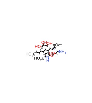 CCCCCCCC/C=C\CCCCCCCC(=O)O.NCCO.O=C1CC[C@@H](C(=O)O)N1.OCC(O)CO